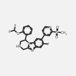 CS(=O)(=O)c1cc(-c2cc3c(cc2F)nc2n3C(c3ccccc3OC(F)F)CNC2)ccn1